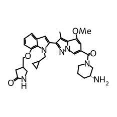 COc1cc(C(=O)N2CCC[C@@H](N)C2)cn2nc(-c3cc4cccc(OCC5CNC(=O)C5)c4n3CC3CC3)c(C)c12